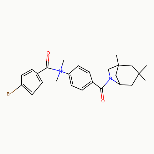 CC1(C)CC2CC(C)(CN2C(=O)c2ccc([N+](C)(C)C(=O)c3ccc(Br)cc3)cc2)C1